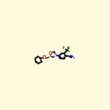 C[C@H]1O[C@H](COc2ccccc2)CN1c1ccc(C#N)c(C(F)(F)F)c1